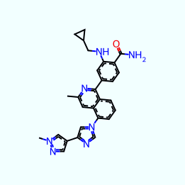 Cc1cc2c(-n3cnc(-c4cnn(C)c4)c3)cccc2c(-c2ccc(C(N)=O)c(NCC3CC3)c2)n1